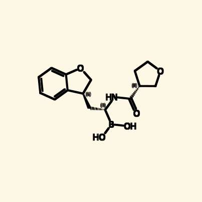 O=C(N[C@@H](C[C@@H]1COc2ccccc21)B(O)O)[C@@H]1CCOC1